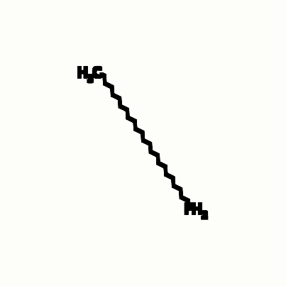 CCCCCCCCCCCCCCCCCCCCCCCCP